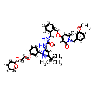 COc1cccc(Cn2c(C)cc(OCc3ccccc3CNC(=O)Nc3cc(C(C)(C)C)nn3-c3cccc(OCCOC4CCCCO4)c3)cc2=O)c1